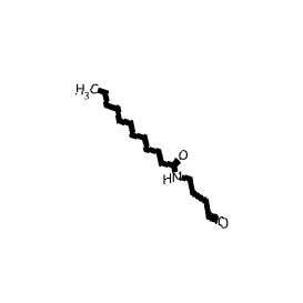 CCCCCCCCCCCC(=O)NCCCC=O